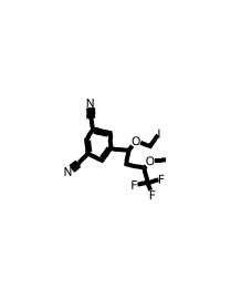 COC(CC(OCI)c1cc(C#N)cc(C#N)c1)C(F)(F)F